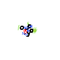 N#CN1CCC2CC21C(=O)N(c1ccc(S(F)(F)(F)(F)F)cc1)C(C(=O)NC1CCC(F)(F)CC1)c1cncc(F)c1